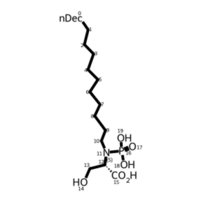 CCCCCCCCCCCCCCCCCCCCN([C@@H](CO)C(=O)O)P(=O)(O)O